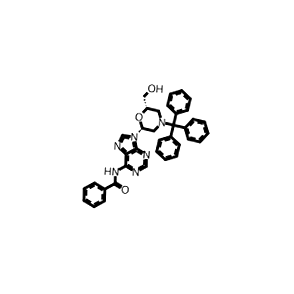 O=C(Nc1ncnc2c1ncn2[C@H]1CN(C(c2ccccc2)(c2ccccc2)c2ccccc2)C[C@@H](CO)O1)c1ccccc1